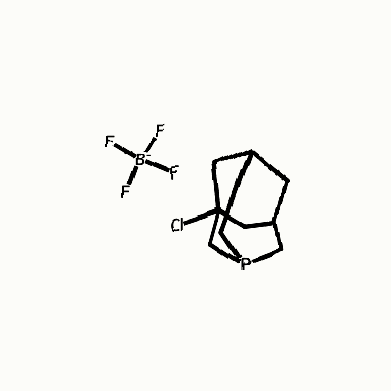 ClC12CC3CC(CP(C3)C1)C2.F[B-](F)(F)F